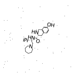 CC(C)[C@@H](CN1CCCCCC1)NC(=O)[C@H]1Cc2ccc(O)cc2CN1